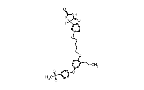 CCCc1cc(Oc2ccc(S(C)(=O)=O)cc2)ccc1OCCCCOc1cccc(C2(F)SC(=O)NC2=O)c1